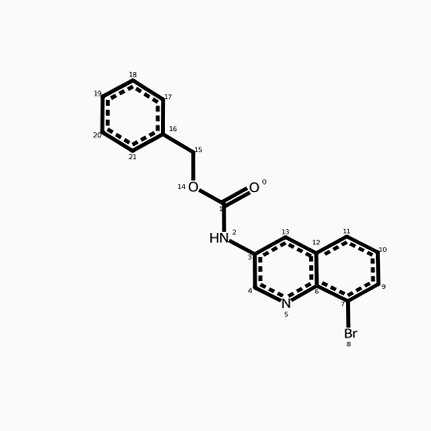 O=C(Nc1cnc2c(Br)cccc2c1)OCc1ccccc1